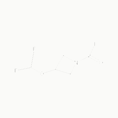 O=C(I)N1CC(OC(F)F)C1